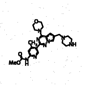 COC(=O)Nc1cc(C)c(-c2nc(N3CCOCC3)c3cc(CN4CCNCC4)cn3n2)cn1